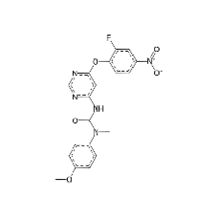 COc1ccc(N(C)C(=O)Nc2cc(Oc3ccc([N+](=O)[O-])cc3F)ncn2)cc1